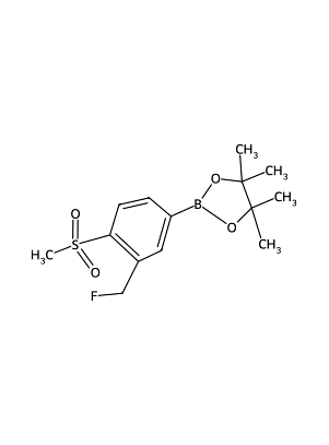 CC1(C)OB(c2ccc(S(C)(=O)=O)c(CF)c2)OC1(C)C